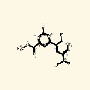 C/C=C(\C=C(/CF)c1cc(C(=O)OC)nc(Cl)n1)C(F)F